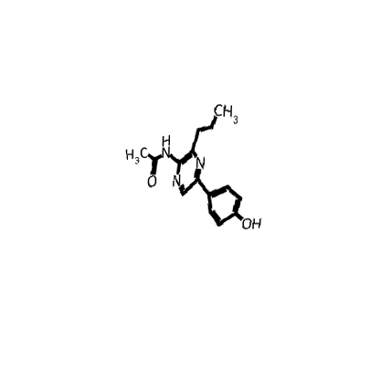 CCCc1nc(-c2ccc(O)cc2)cnc1NC(C)=O